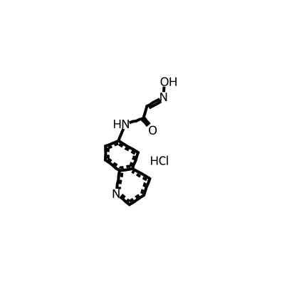 Cl.O=C(/C=N/O)Nc1ccc2ncccc2c1